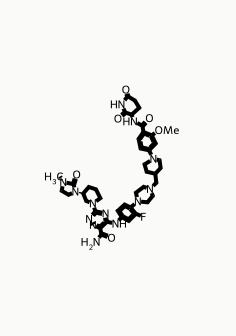 COc1cc(N2CCC(CN3CCN(c4ccc(Nc5nc(N6CCC[C@@H](N7CCN(C)C7=O)C6)nnc5C(N)=O)cc4F)CC3)CC2)ccc1C(=O)NC1CCC(=O)NC1=O